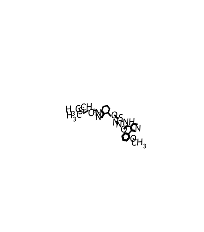 COc1ccccc1-c1cnccc1C(=O)Nc1nnc(OCC2CCCc3c2cnn3COCC[Si](C)(C)C)s1